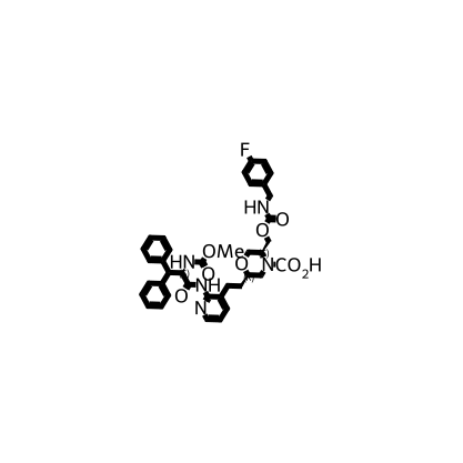 COC(=O)N[C@H](C(=O)Nc1ncccc1CC[C@@H]1CN(C(=O)O)[C@H](COC(=O)NCc2ccc(F)cc2)CO1)C(c1ccccc1)c1ccccc1